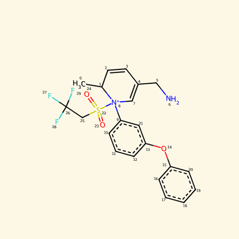 CC1C=CC(CN)=C[N+]1(c1cccc(Oc2ccccc2)c1)S(=O)(=O)CC(F)(F)F